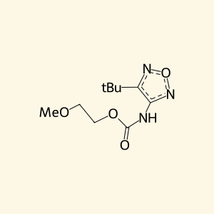 COCCOC(=O)Nc1nonc1C(C)(C)C